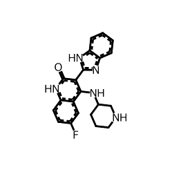 O=c1[nH]c2ccc(F)cc2c(NC2CCCNC2)c1-c1nc2ccccc2[nH]1